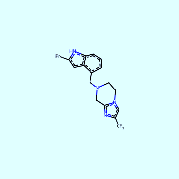 CC(C)c1cc2c(CN3CCn4cc(C(F)(F)F)nc4C3)cccc2[nH]1